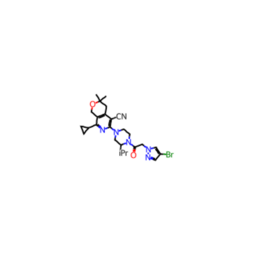 CC(C)C1CN(c2nc(C3CC3)c3c(c2C#N)CC(C)(C)OC3)CCN1C(=O)Cn1cc(Br)cn1